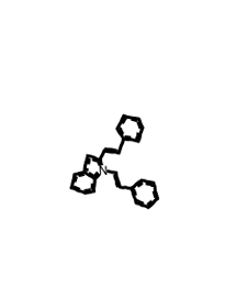 C(=Cc1cc2ccccc2n1C=Cc1ccccc1)c1ccccc1